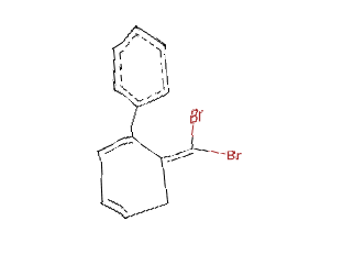 BrC(Br)=C1CC=CC=C1c1ccccc1